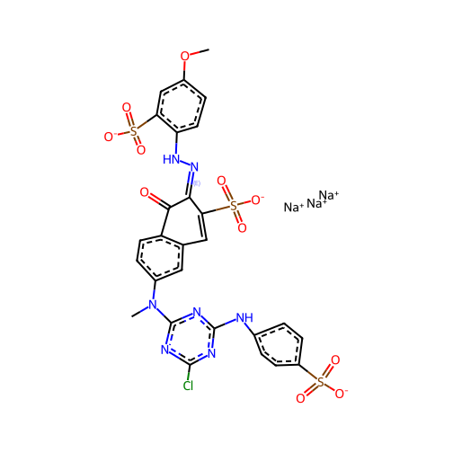 COc1ccc(N/N=C2\C(=O)c3ccc(N(C)c4nc(Cl)nc(Nc5ccc(S(=O)(=O)[O-])cc5)n4)cc3C=C2S(=O)(=O)[O-])c(S(=O)(=O)[O-])c1.[Na+].[Na+].[Na+]